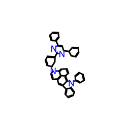 C1=CCC(c2cc(-c3ccccc3)nc(C3=CC=CC(N4C=Cc5cc6c7ccccc7n(-c7ccccc7)c6c6cccc4c56)C3)n2)C=C1